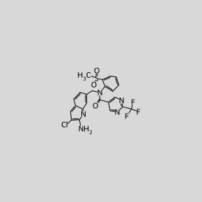 CS(=O)(=O)c1ccccc1N(Cc1ccc2cc(Cl)c(N)nc2c1)C(=O)c1cnc(C(F)(F)F)nc1